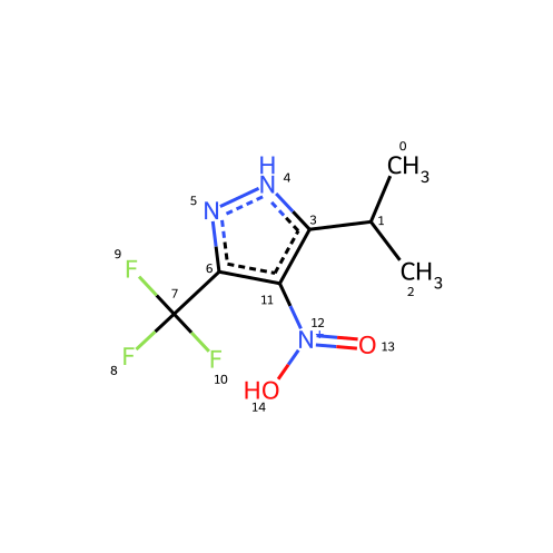 CC(C)c1[nH]nc(C(F)(F)F)c1[N+](=O)O